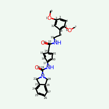 COc1ccc(OC)c(CCNC(=O)c2ccc(NC(=O)N3Cc4ccccc4C3)cc2)c1